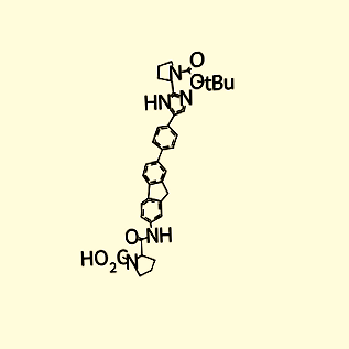 CC(C)(C)OC(=O)N1CCCC1c1ncc(-c2ccc(-c3ccc4c(c3)Cc3cc(NC(=O)C5CCCN5C(=O)O)ccc3-4)cc2)[nH]1